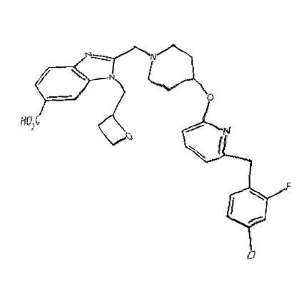 O=C(O)c1ccc2nc(CN3CCC(Oc4cccc(Cc5ccc(Cl)cc5F)n4)CC3)n(CC3CCO3)c2c1